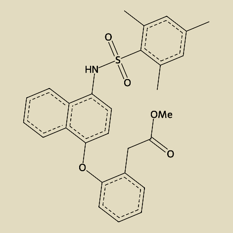 COC(=O)Cc1ccccc1Oc1ccc(NS(=O)(=O)c2c(C)cc(C)cc2C)c2ccccc12